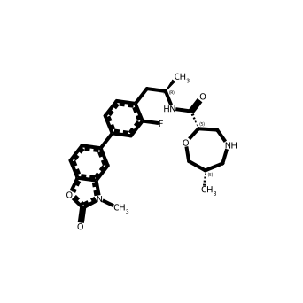 C[C@H]1CNC[C@@H](C(=O)N[C@H](C)Cc2ccc(-c3ccc4oc(=O)n(C)c4c3)cc2F)OC1